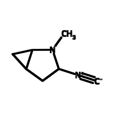 [C-]#[N+]C1CC2CC2N1C